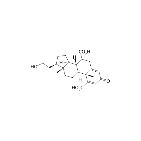 C[C@@]12C(=CC(=O)C=C1C(=O)O)CC(C(=O)O)[C@@H]1[C@@H]2CC[C@]2(C)[C@@H](CCO)CC[C@@H]12